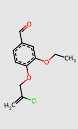 C=C(Cl)COc1ccc(C=O)cc1OCC